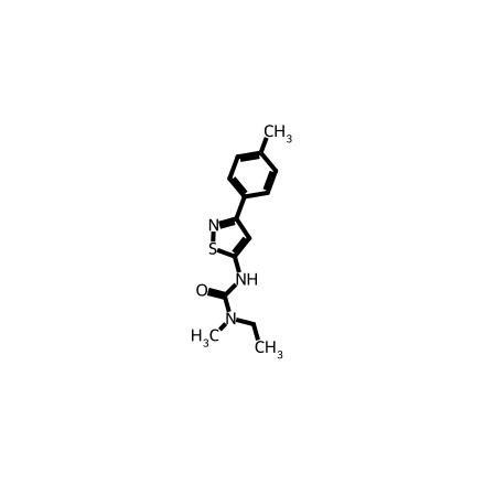 CCN(C)C(=O)Nc1cc(-c2ccc(C)cc2)ns1